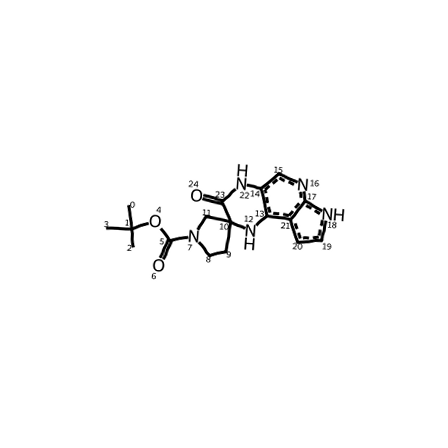 CC(C)(C)OC(=O)N1CCC2(C1)Nc1c(cnc3[nH]ccc13)NC2=O